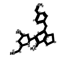 C=Cc1ccc(Cc2cc(C3CC(O)CC(CO)O3)c(C)c3c2CCC3)cc1